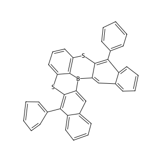 c1ccc(-c2c3c(cc4ccccc24)B2c4cc5ccccc5c(-c5ccccc5)c4Sc4cccc(c42)S3)cc1